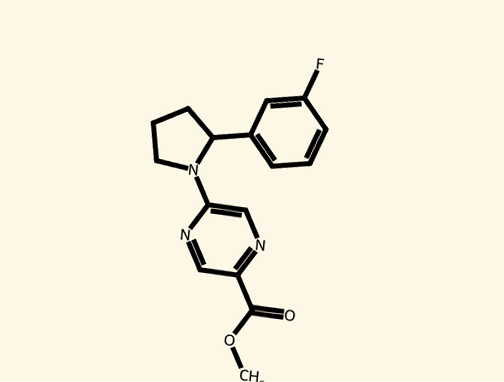 COC(=O)c1cnc(N2CCCC2c2cccc(F)c2)cn1